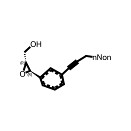 CCCCCCCCCCC#Cc1cccc([C@H]2O[C@@H]2CO)c1